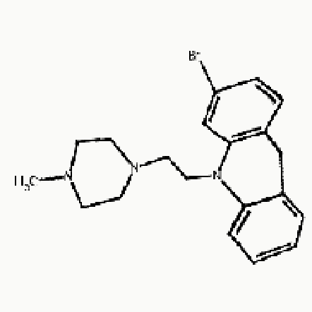 CN1CCN(CCN2c3ccccc3Cc3ccc(Br)cc32)CC1